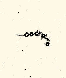 CCCCCC1CCC(c2ccc(-c3cc(F)c(C(F)(F)Oc4cc(F)c(CCC(F)(F)Oc5cc(F)c(F)c(F)c5)c(F)c4)c(F)c3)cc2)CC1